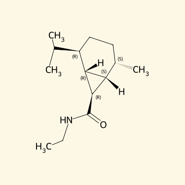 CCNC(=O)[C@@H]1[C@@H]2[C@H]1[C@@H](C(C)C)CC[C@@H]2C